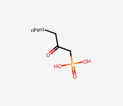 CCCCCCC(=O)CP(=O)(O)O